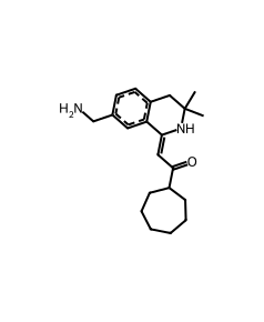 CC1(C)Cc2ccc(CN)cc2C(=CC(=O)C2CCCCCC2)N1